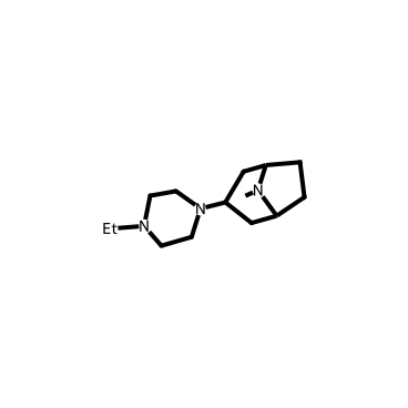 CCN1CCN(C2CC3CCC(C2)N3C)CC1